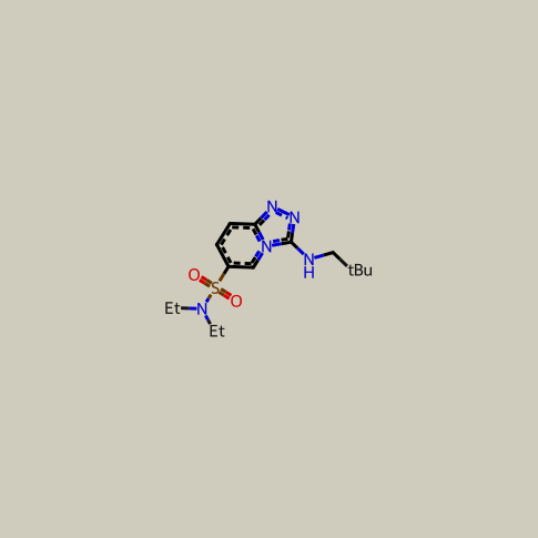 CCN(CC)S(=O)(=O)c1ccc2nnc(NCC(C)(C)C)n2c1